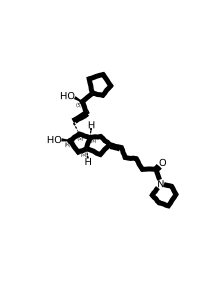 O=C(CCCC=C1C[C@H]2C[C@@H](O)[C@H](C=C[C@@H](O)C3CCCC3)[C@H]2C1)N1CCCCC1